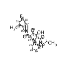 CCCN1C(=O)c2c(O)c(=O)c(C(=O)NCc3ccc(F)cc3C)cn2N2CCCC[C@@H]12